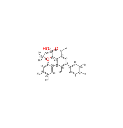 CCc1cc(-c2ccc(C)c(C)c2)c(C)c(-c2ccc(C)c(C)c2)c1C(OC(C)(C)C)C(=O)O